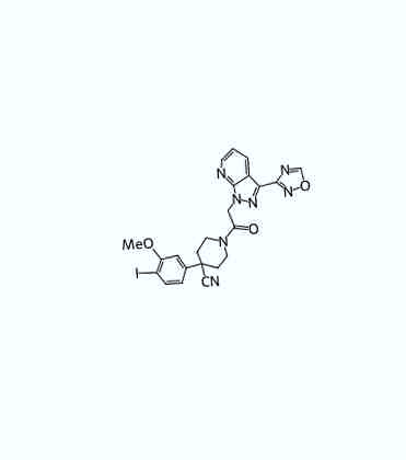 COc1cc(C2(C#N)CCN(C(=O)Cn3nc(-c4ncon4)c4cccnc43)CC2)ccc1I